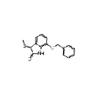 CSC1C(=O)Nc2c(OCc3ccccc3)cccc21